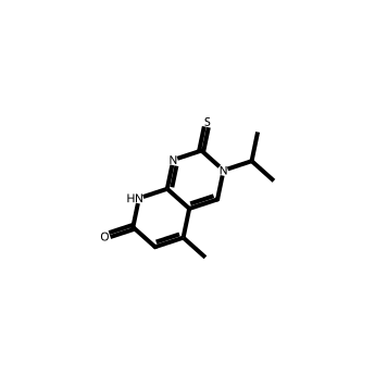 Cc1cc(=O)[nH]c2nc(=S)n(C(C)C)cc12